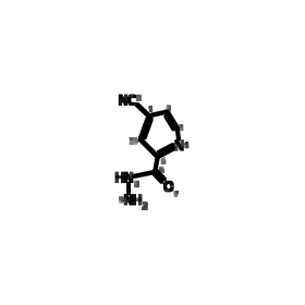 N#Cc1ccnc(C(=O)NN)c1